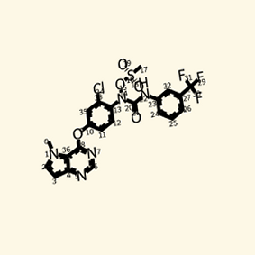 Cn1ccc2ncnc(Oc3ccc(N(OS(C)(=O)=O)C(=O)Nc4cccc(C(F)(F)F)c4)c(Cl)c3)c21